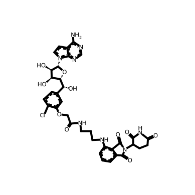 Nc1ncnc2c1ccn2[C@@H]1O[C@H]([C@H](O)c2ccc(Cl)c(OCC(=O)NCCCNc3cccc4c3C(=O)N(C3CCC(=O)NC3=O)C4=O)c2)[C@@H](O)[C@H]1O